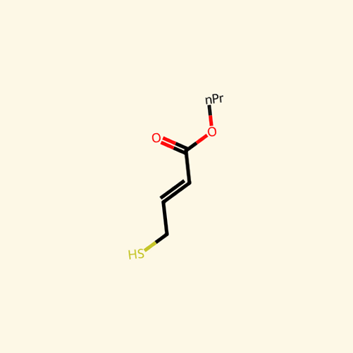 [CH2]CCOC(=O)C=CCS